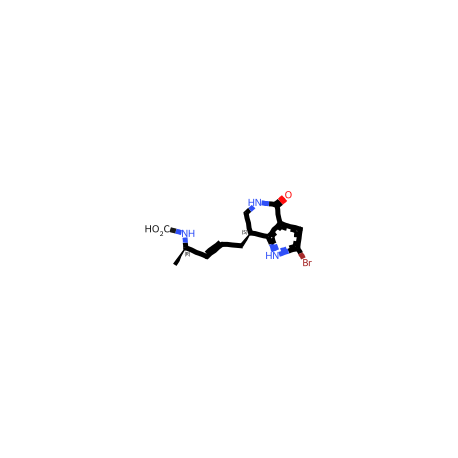 C[C@H](C=CC[C@H]1CNC(=O)c2cc(Br)[nH]c21)NC(=O)O